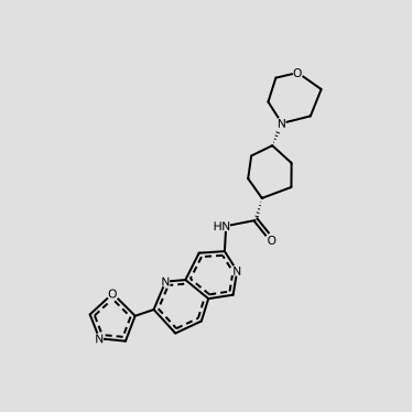 O=C(Nc1cc2nc(-c3cnco3)ccc2cn1)[C@H]1CC[C@@H](N2CCOCC2)CC1